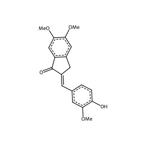 COc1cc(/C=C2\Cc3cc(OC)c(OC)cc3C2=O)ccc1O